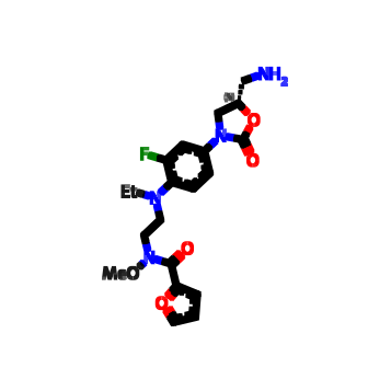 CCN(CCN(OC)C(=O)c1ccco1)c1ccc(N2C[C@H](CN)OC2=O)cc1F